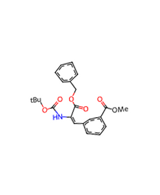 COC(=O)c1cccc(/C=C(/NC(=O)OC(C)(C)C)C(=O)OCc2ccccc2)c1